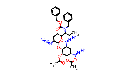 CC[C@@H]([C@@H]1CCC(N=[N+]=[N-])[C@@H](O[C@H]2[C@H](OC(C)=O)[C@@H](OC(C)=O)[C@H](N=[N+]=[N-])C[C@@H]2N=[N+]=[N-])O1)N(Cc1ccccc1)C(=O)OCc1ccccc1